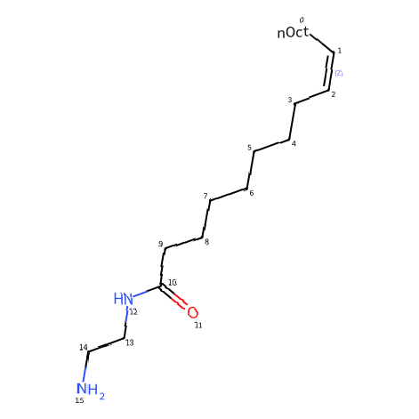 CCCCCCCC/C=C\CCCCCCCC(=O)NCCN